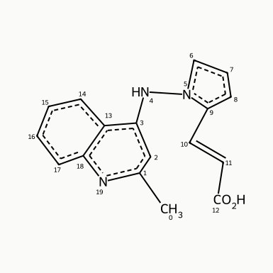 Cc1cc(Nn2cccc2/C=C/C(=O)O)c2ccccc2n1